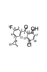 O=C(c1cc(F)cc(C2CC2)c1)c1cc(Cl)ccc1O